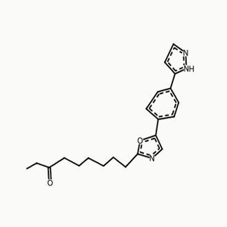 CCC(=O)CCCCCCc1ncc(-c2ccc(-c3ccn[nH]3)cc2)o1